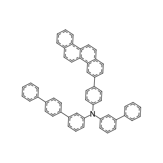 c1ccc(-c2ccc(-c3cccc(N(c4ccc(-c5ccc6ccc7c8ccccc8ccc7c6c5)cc4)c4cccc(-c5ccccc5)c4)c3)cc2)cc1